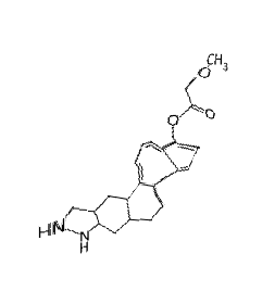 COCC(=O)OC1=CC=C2C1=CC=C1C2CCC2CC3NNCC3CC12